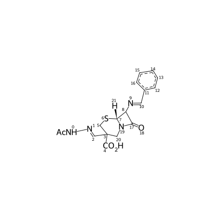 CC(=O)NN=CC1(C(=O)O)CS[C@@H]2C(N=Cc3ccccc3)C(=O)N2C1